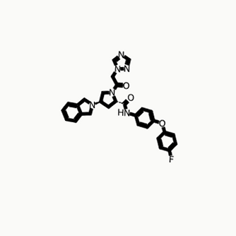 O=C(Nc1ccc(Oc2ccc(F)cc2)cc1)[C@@H]1C[C@@H](N2Cc3ccccc3C2)CN1C(=O)Cn1cncn1